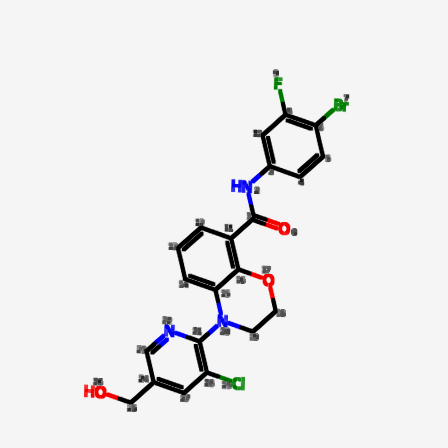 O=C(Nc1ccc(Br)c(F)c1)c1cccc2c1OCCN2c1ncc(CO)cc1Cl